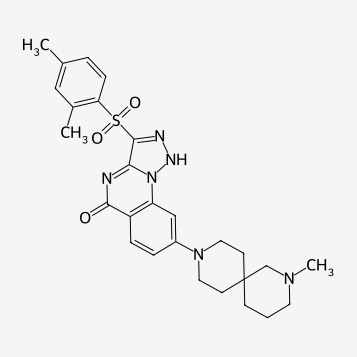 Cc1ccc(S(=O)(=O)c2n[nH]n3c2nc(=O)c2ccc(N4CCC5(CCCN(C)C5)CC4)cc23)c(C)c1